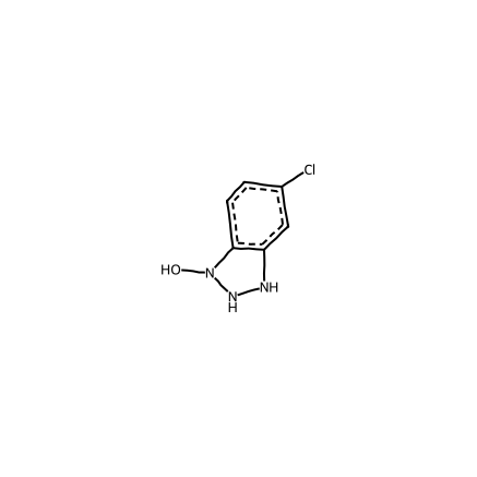 ON1NNc2cc(Cl)ccc21